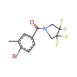 Cc1cc(C(=O)N2CC(F)(F)C(F)(F)C2)ccc1Br